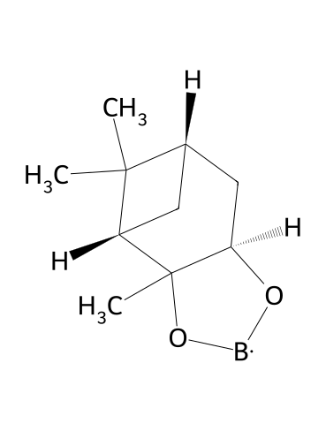 CC1(C)[C@@H]2C[C@H]3O[B]OC3(C)[C@H]1C2